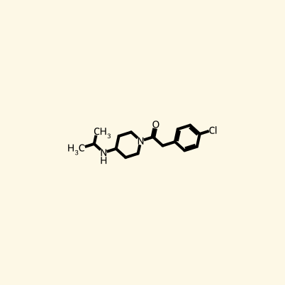 CC(C)NC1CCN(C(=O)Cc2ccc(Cl)cc2)CC1